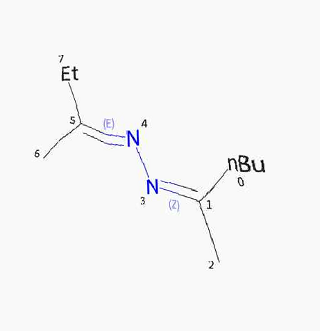 CCCC/C(C)=N\N=C(/C)CC